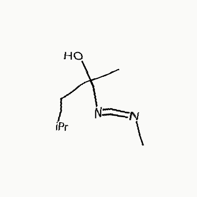 CN=NC(C)(O)CC(C)C